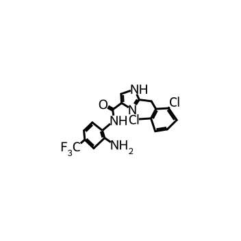 Nc1cc(C(F)(F)F)ccc1NC(=O)c1c[nH]c(Cc2c(Cl)cccc2Cl)n1